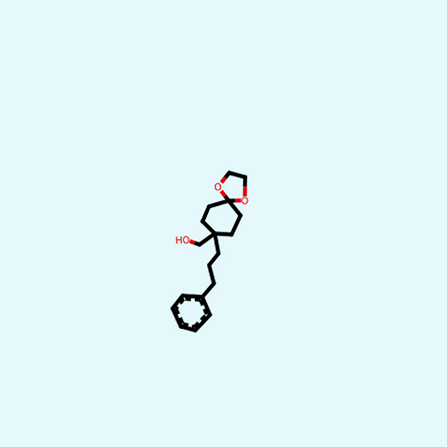 OCC1(CCCc2ccccc2)CCC2(CC1)OCCO2